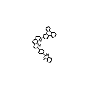 c1ccc2sc(-c3ccc(-c4ccc5ccc6ccc(-c7ccc8c9ccccc9c9ccccc9c8c7)nc6c5n4)cc3)nc2c1